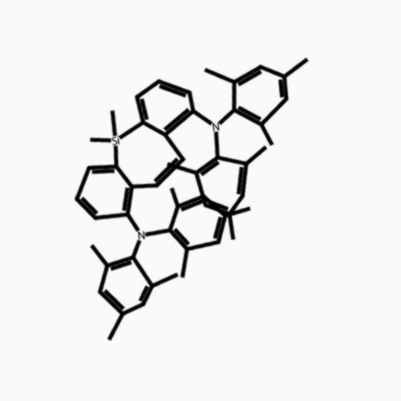 Cc1cc(C)c(N(c2cccc3c2C=Cc2c(N(c4c(C)cc(C)cc4C)c4c(C)cc(C)cc4C)cccc2[Si]3(C)C)c2c(C)cc(C)cc2C)c(C)c1